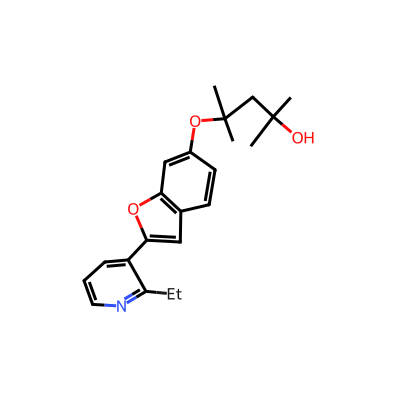 CCc1ncccc1-c1cc2ccc(OC(C)(C)CC(C)(C)O)cc2o1